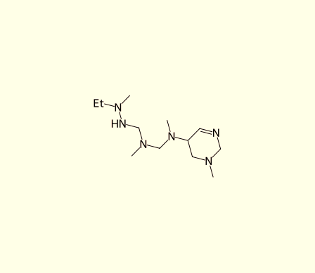 CCN(C)NCN(C)CN(C)C1C=NCN(C)C1